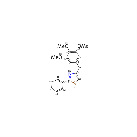 COc1cc(Cc2csc(C3=CCCC=C3)n2)cc(OC)c1OC